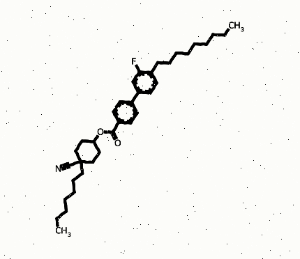 CCCCCCCCCc1ccc(-c2ccc(C(=O)OC3CCC(C#N)(CCCCCCC)CC3)cc2)cc1F